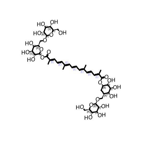 CC(/C=C/C=C(\C)C(=O)O[C@@H]1O[C@H](CO[C@@H]2O[C@H](CO)[C@@H](O)[C@H](O)[C@H]2O)[C@@H](O)[C@H](O)[C@H]1O)=C\C=C\C=C(C)\C=C\C=C(/C)C(=O)O[C@@H]1C[C@H](CO[C@@H]2O[C@H](CO)[C@@H](O)[C@H](O)[C@H]2O)[C@@H](O)[C@H](O)[C@H]1O